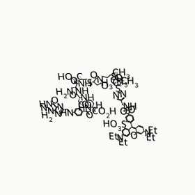 CCN(CC)c1ccc2c(c1)OC1=CC(N(CC)CC)C=CC1=C2c1ccc(S(=O)(=O)NCc2cnc(SC[Si](C)(C)O[Si](C)(C)CCCN3C(=O)CC(SC[C@H](NC(=O)[C@H](CN)NC(=O)[C@H](CC(=O)O)NC(=O)CC[C@H](NC(=O)c4ccc(NCc5cnc6nc(N)[nH]c(=O)c6n5)cc4)C(=O)O)C(=O)O)C3=O)nc2)cc1S(=O)(=O)O